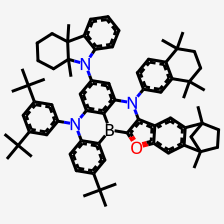 CC(C)(C)c1cc(N2c3ccc(C(C)(C)C)cc3B3c4oc5cc6c(cc5c4N(c4ccc5c(c4)C(C)(C)CCC5(C)C)c4cc(N5c7ccccc7C7(C)CCCCC57C)cc2c43)C2(C)CCC6(C)C2)cc(C(C)(C)C)c1